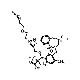 Cc1ccc([C@H](OCc2cn(CCOCCN=[N+]=[N-])nn2)C(C)(C)C(=O)O)cc1CN1C[C@@H](C)Oc2ccccc2S1(=O)=O